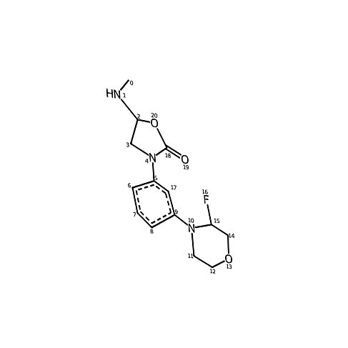 CNC1CN(c2cccc(N3CCOCC3F)c2)C(=O)O1